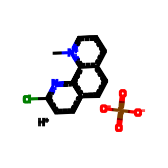 C[n+]1cccc2ccc3ccc(Cl)nc3c21.O=S(=O)([O-])[O-].[H+]